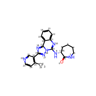 O=C1NCCCC[C@H]1Nc1nc2ccccc2c2nc(-c3cnccc3C(F)(F)F)nn12